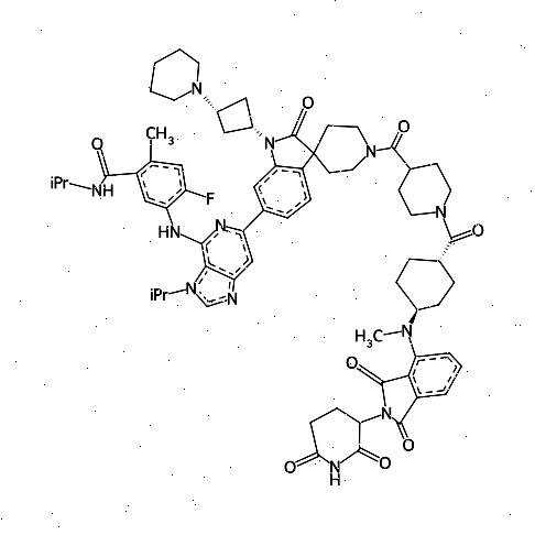 Cc1cc(F)c(Nc2nc(-c3ccc4c(c3)N([C@H]3C[C@@H](N5CCCCC5)C3)C(=O)C43CCN(C(=O)C4CCN(C(=O)[C@H]5CC[C@H](N(C)c6cccc7c6C(=O)N(C6CCC(=O)NC6=O)C7=O)CC5)CC4)CC3)cc3ncn(C(C)C)c23)cc1C(=O)NC(C)C